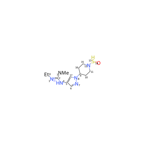 CC/N=C(\NC)Nc1cnn(C2CCN([SH]=O)CC2)c1